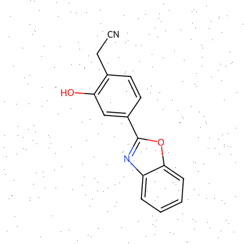 N#CCc1ccc(-c2nc3ccccc3o2)cc1O